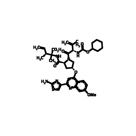 C=C[C@H](C)[C@@](C)(NC(=O)[C@@H]1C[C@@H](Oc2cc(-c3csc(N)n3)nc3cc(OC)ccc23)CN1C(=O)[C@@H](NC(=O)OC1CCCCC1)C(=C)C)C(=O)O